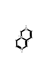 C1=CC2=CN=CCN2CO1